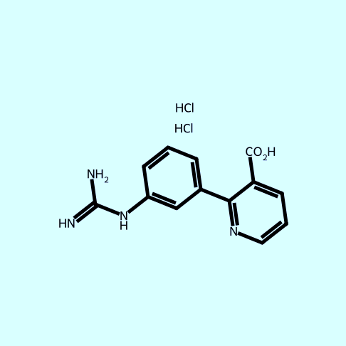 Cl.Cl.N=C(N)Nc1cccc(-c2ncccc2C(=O)O)c1